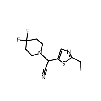 CCc1ncc(C(C#N)N2CCC(F)(F)CC2)s1